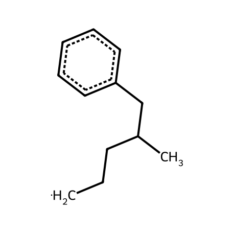 [CH2]CCC(C)Cc1ccccc1